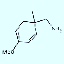 COC1=CCC(C)(CN)C=C1